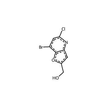 OCc1cc2nc(Cl)cc(Br)c2o1